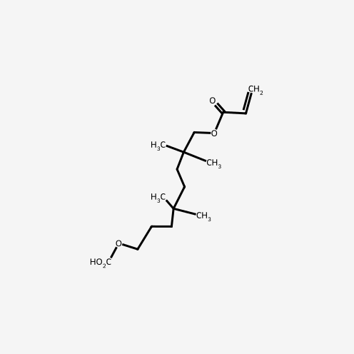 C=CC(=O)OCC(C)(C)CCC(C)(C)CCCOC(=O)O